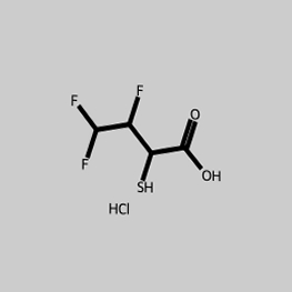 Cl.O=C(O)C(S)C(F)C(F)F